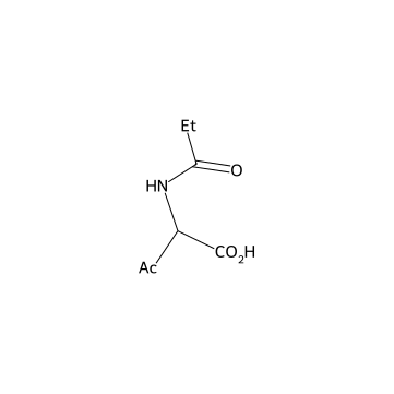 CCC(=O)NC(C(C)=O)C(=O)O